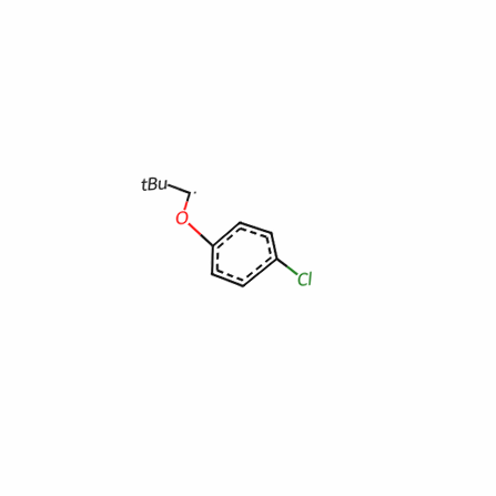 CC(C)(C)[CH]Oc1ccc(Cl)cc1